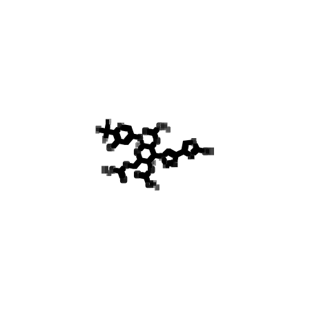 CC(=O)OCC1O[C@H](Sc2cnc(C(F)(F)F)c(Cl)c2)C(OC(C)=O)C(n2cc(-c3csc(O)n3)nn2)[C@H]1OC(C)=O